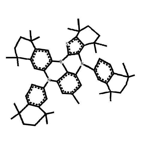 Cc1cc2c3c(c1)N(c1ccc4c(c1)C(C)(C)CCC4(C)C)c1c(sc4c1C(C)(C)CCC4(C)C)B3c1cc3c(cc1N2c1ccc2c(c1)C(C)(C)CCC2(C)C)C(C)(C)CCC3(C)C